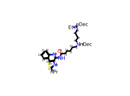 CCCCCCCCCCN(CC)CCCCN(CCCCCCCCCC)CCCCCC(=O)Nc1nc2ccccc2c2sc(CCC)nc12